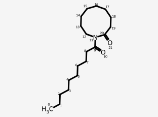 CCCCCCCCCC(=O)N1CCCCCCCCC1=O